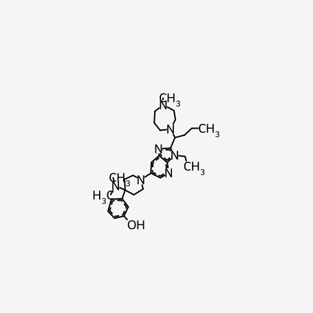 CCCC(c1nc2cc(N3CCC(c4cccc(O)c4)(N(C)C)CC3)cnc2n1CC)N1CCCN(C)CC1